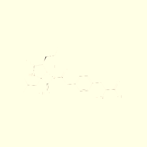 CC(C)[C@@H](O)C12NC(=O)[C@@H](CCCl)[C@H]1N(C(=O)Oc1ccc(CC(N)C(=O)O)cc1)C2=O